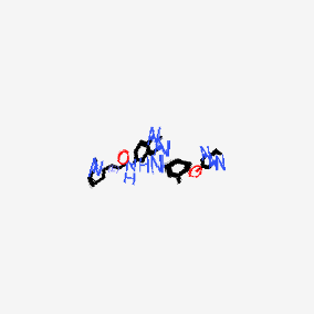 Cc1cc(Nc2ncnc3ccc(NC(=O)/C=C/C4CCCN4C)cc23)ccc1Oc1cnc2ccnn2c1